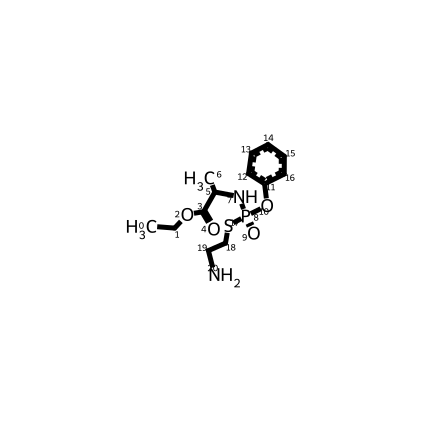 CCOC(=O)C(C)NP(=O)(Oc1ccccc1)SCCN